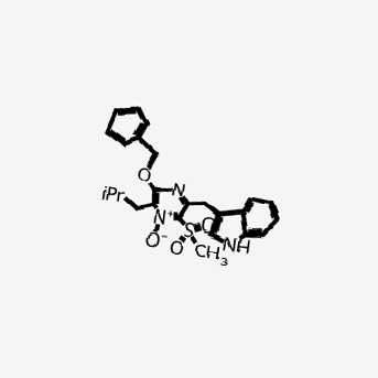 CC(C)Cc1c(OCc2ccccc2)nc(Cc2c[nH]c3ccccc23)c(S(C)(=O)=O)[n+]1[O-]